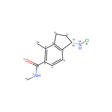 CNC(=O)c1ccc2c(c1C)CC[C@@H]2NCl